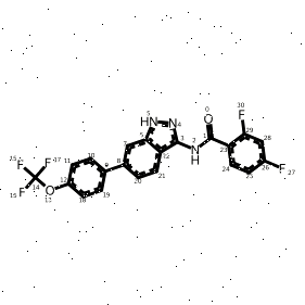 O=C(Nc1n[nH]c2cc(-c3ccc(OC(F)(F)F)cc3)ccc12)c1ccc(F)cc1F